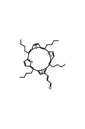 CCCCc1c2nc(c(CCCC)c3cc(/C=C/C=O)c([nH]3)c(CCCC)c3nc(c(CCCC)c4ccc1[nH]4)C=C3)C=C2